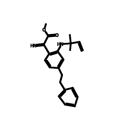 C=CC(C)(C)Nc1cc(CCc2ccccc2)ccc1C(=N)C(=O)OC